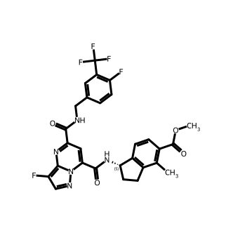 COC(=O)c1ccc2c(c1C)CC[C@@H]2NC(=O)c1cc(C(=O)NCc2ccc(F)c(C(F)(F)F)c2)nc2c(F)cnn12